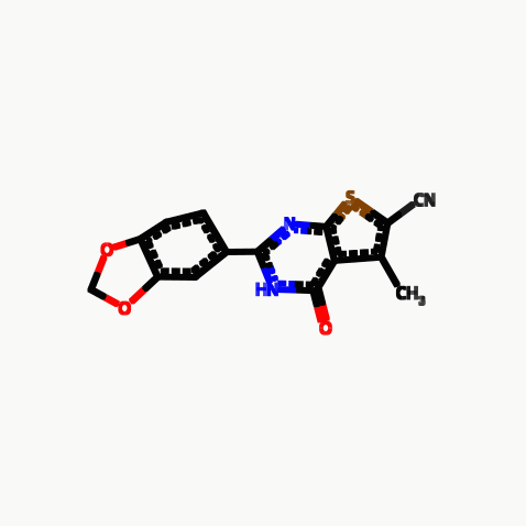 Cc1c(C#N)sc2nc(-c3ccc4c(c3)OCO4)[nH]c(=O)c12